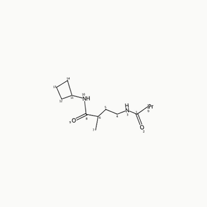 CC(C)C(=O)NCCC(C)C(=O)NC1CCC1